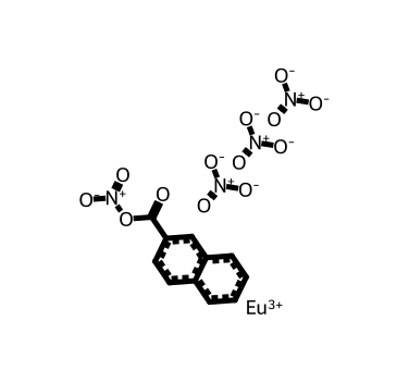 O=C(O[N+](=O)[O-])c1ccc2ccccc2c1.O=[N+]([O-])[O-].O=[N+]([O-])[O-].O=[N+]([O-])[O-].[Eu+3]